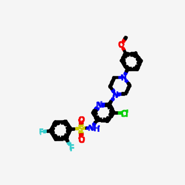 COc1cccc(N2CCN(c3ncc(NS(=O)(=O)c4ccc(F)cc4F)cc3Cl)CC2)c1